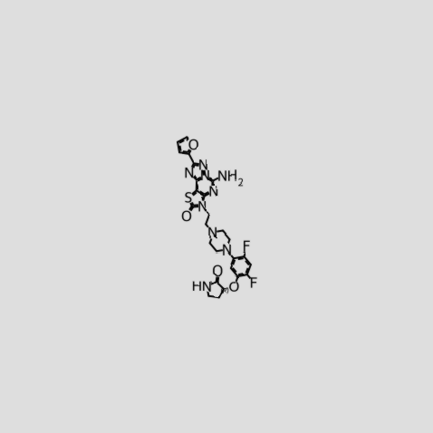 Nc1nc2c(sc(=O)n2CCN2CCN(c3cc(O[C@@H]4CCNC4=O)c(F)cc3F)CC2)c2nc(-c3ccco3)nn12